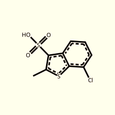 Cc1sc2c(Cl)cccc2c1S(=O)(=O)O